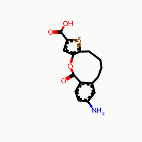 Nc1ccc2c(c1)CCCCc1sc(C(=O)O)cc1OC2=O